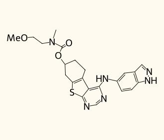 COCCN(C)C(=O)OC1CCc2c(sc3ncnc(Nc4ccc5[nH]ncc5c4)c23)C1